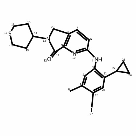 Cc1cc(Nc2ccc3c(n2)C(=O)N(C2CCSCC2)C3)c(C2CC2)cc1I